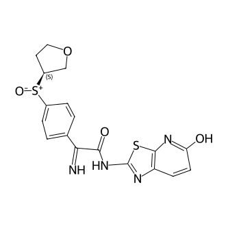 N=C(C(=O)Nc1nc2ccc(O)nc2s1)c1ccc([S+]([O-])[C@H]2CCOC2)cc1